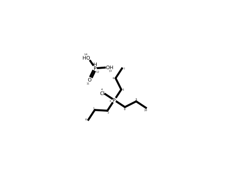 CCC[P](Cl)(CCC)CCC.O=[PH](O)O